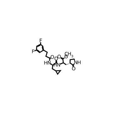 COC(=O)C(C[C@@H]1CCNC1=O)NC(=O)C(CC1CC1)NC(=O)CCc1cc(F)cc(F)c1